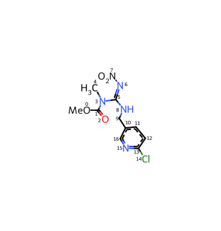 COC(=O)N(C)C(=N[N+](=O)[O-])NCc1ccc(Cl)nc1